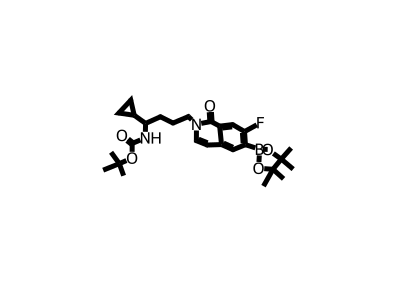 CC(C)(C)OC(=O)NC(CCCn1ccc2cc(B3OC(C)(C)C(C)(C)O3)c(F)cc2c1=O)C1CC1